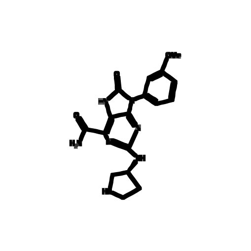 COc1cccc(-n2c(=O)[nH]c3c(C(N)=O)nc(N[C@H]4CCNC4)nc32)c1